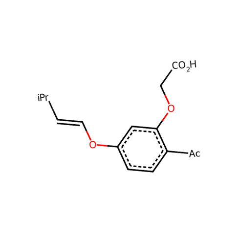 CC(=O)c1ccc(OC=CC(C)C)cc1OCC(=O)O